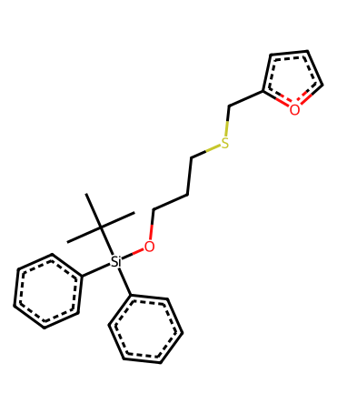 CC(C)(C)[Si](OCCCSCc1ccco1)(c1ccccc1)c1ccccc1